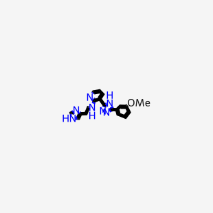 COc1cccc(-c2nnc(-c3cccnc3NCCc3c[nH]cn3)[nH]2)c1